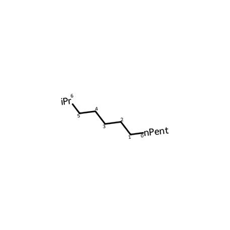 CCCCCCCCCCC(C)C